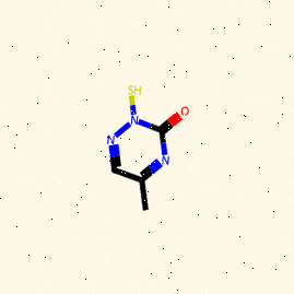 Cc1cnn(S)c(=O)n1